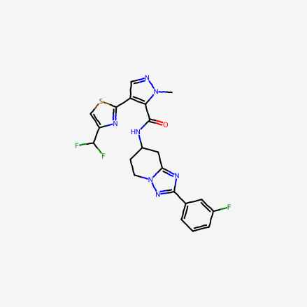 Cn1ncc(-c2nc(C(F)F)cs2)c1C(=O)NC1CCn2nc(-c3cccc(F)c3)nc2C1